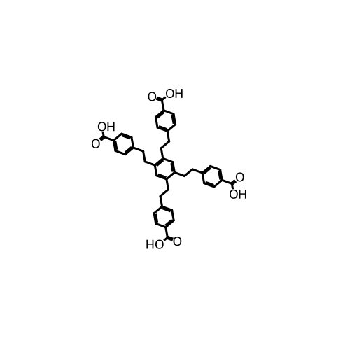 O=C(O)c1ccc(CCc2cc(CCc3ccc(C(=O)O)cc3)c(CCc3ccc(C(=O)O)cc3)cc2CCc2ccc(C(=O)O)cc2)cc1